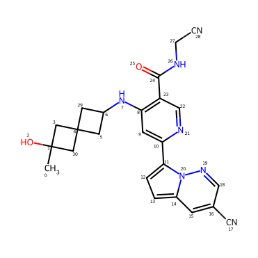 CC1(O)CC2(CC(Nc3cc(-c4ccc5cc(C#N)cnn45)ncc3C(=O)NCC#N)C2)C1